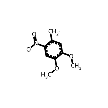 [CH2]c1cc(OC)c(OC)cc1[N+](=O)[O-]